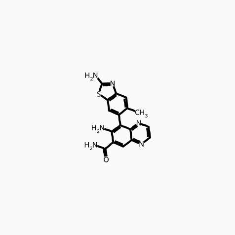 Cc1cc2nc(N)sc2cc1-c1c(N)c(C(N)=O)cc2nccnc12